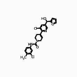 Cc1ccc(NC(=O)N2CC=C(c3ncc(C(O)c4ccco4)cc3Cl)CC2)cc1Cl